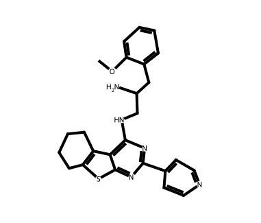 COc1ccccc1CC(N)CNc1nc(-c2ccncc2)nc2sc3c(c12)CCCC3